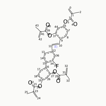 C=C(C)C(=O)Oc1ccc(/C=C/c2ccc(-c3ccc(OC(=O)C(=C)C)cc3OC(=O)C(=C)C)c(F)c2)c(OC(=O)C(=C)C)c1